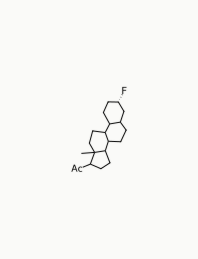 CC(=O)C1CCC2C3CCC4C[C@@H](F)CCC4C3CCC12C